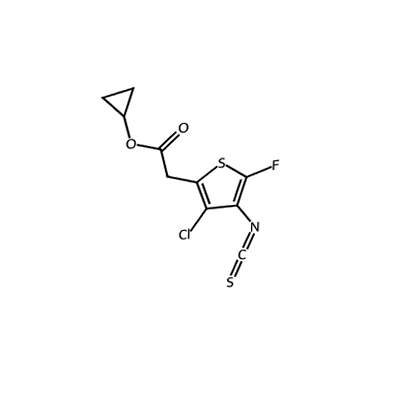 O=C(Cc1sc(F)c(N=C=S)c1Cl)OC1CC1